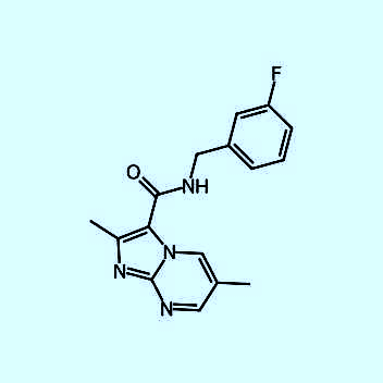 Cc1cnc2nc(C)c(C(=O)NCc3cccc(F)c3)n2c1